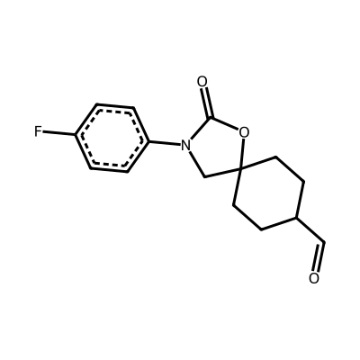 O=CC1CCC2(CC1)CN(c1ccc(F)cc1)C(=O)O2